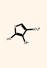 O=S(=O)(O)c1csc(O)c1O